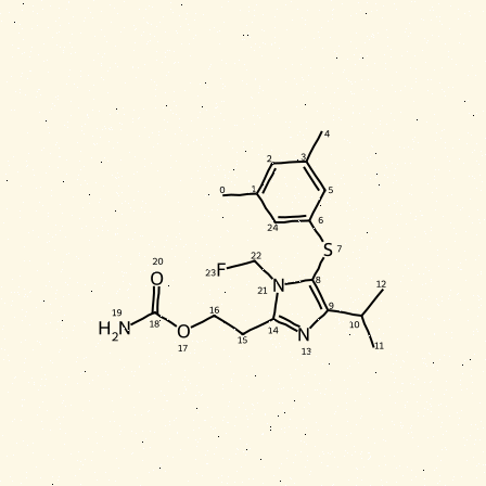 Cc1cc(C)cc(Sc2c(C(C)C)nc(CCOC(N)=O)n2CF)c1